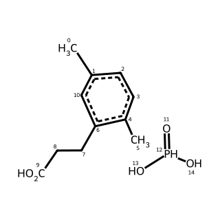 Cc1ccc(C)c(CCC(=O)O)c1.O=[PH](O)O